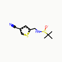 CC(C)(C)[S+]([O-])NCc1cc(C#N)cs1